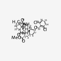 COC(=O)[C@H](Cc1ccc(OCc2c(Cl)cccc2Cl)cc1)NC(=O)[C@H]1CC[C@@](C)(C(N)=O)C1(C)C